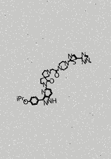 CC(C)Oc1ccc(-c2n[nH]c3ccc(N4CC[C@]5(CCN(CC(=O)N6CCN(c7ncc(-c8ncn(C)n8)s7)CC6)C5)C4=O)nc23)cc1